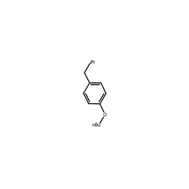 CCCCOc1ccc(CC(C)C)cc1